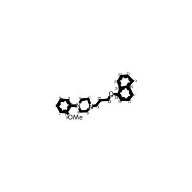 COc1ccccc1N1CCN(CCCOc2cccc3ccccc23)CC1